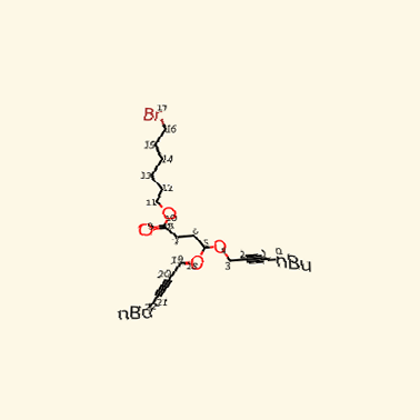 CCCCC#CCOC(CCC(=O)OCCCCCCBr)OCC#CCCCC